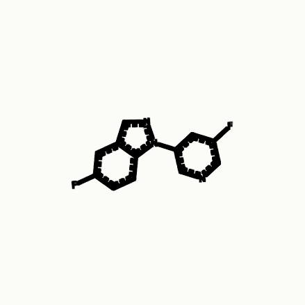 Fc1cncc(-n2ncc3cc(F)ccc32)c1